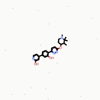 CC1C(Oc2ccc(-c3ccc(-c4ccnc(O)c4)cc3O)nn2)CCN(C)C1(C)C